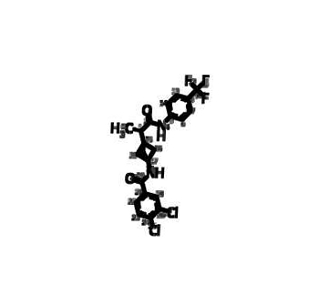 C[C@@H](C(=O)Nc1ccc(C(F)(F)F)cc1)C12CC(NC(=O)c3ccc(Cl)c(Cl)c3)(C1)C2